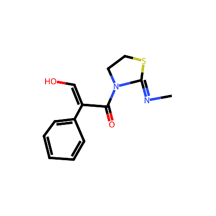 C/N=C1\SCCN1C(=O)/C(=C/O)c1ccccc1